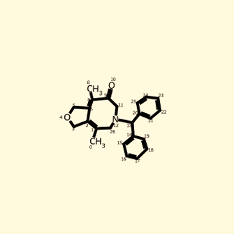 C/C1=C2\COC\C2=C(/C)C(=O)CN(C(c2ccccc2)c2ccccc2)C1